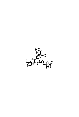 CSc1ncn2cc(C3=C(C(=O)OCC4OC(=O)OC4C)N4C(=O)[C@H]([C@@H](C)O)[C@H]4[C@H]3C)sc12